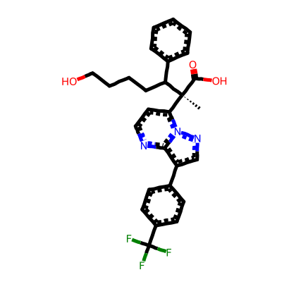 C[C@](C(=O)O)(c1ccnc2c(-c3ccc(C(F)(F)F)cc3)cnn12)C(CCCCO)c1ccccc1